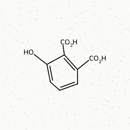 O=C(O)c1cccc(O)c1C(=O)O